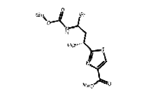 COC(=O)c1csc([C@H](O)CC(NC(=O)OC(C)(C)C)C(C)C)n1